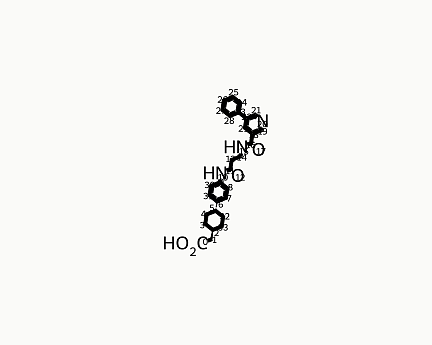 O=C(O)C[C@H]1CC[C@H](c2ccc(NC(=O)CCNC(=O)c3cncc(-c4ccccc4)c3)cc2)CC1